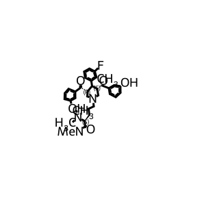 CNC(=O)[C@H](CCCN1C[C@H](C(=O)c2cccc(O)c2)C(c2cccc(F)c2C)[C@H](C(=O)c2cccc(O)c2)C1)N(C)C